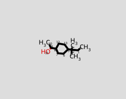 CCC(C)(C)C1CCC(C(C)O)CC1